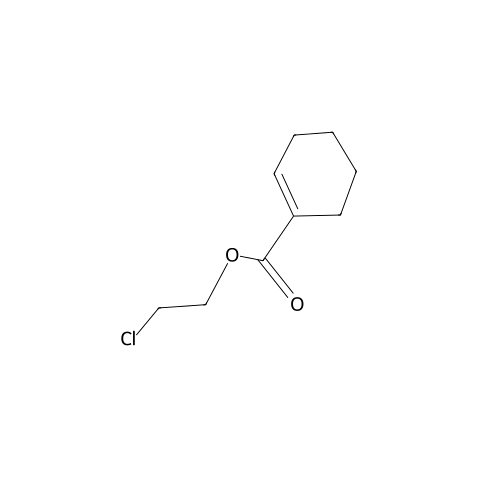 O=C(OCCCl)C1=CCCCC1